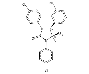 C[C@@]1(C(F)(F)F)[C@H](c2cccc(C#N)c2)N(c2ccc(Cl)cc2)C(=O)N1c1ccc(Cl)cc1